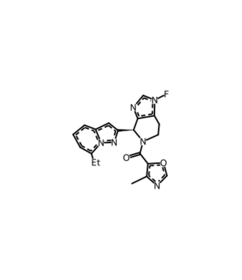 CCc1cccc2cc([C@H]3c4ncn(F)c4CCN3C(=O)c3ocnc3C)nn12